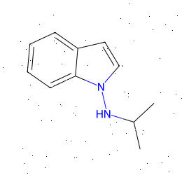 CC(C)Nn1[c]cc2ccccc21